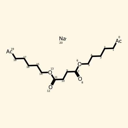 CC(=O)CCCCCOC(=O)CCC(=O)OCCCCCC(C)=O.[Na]